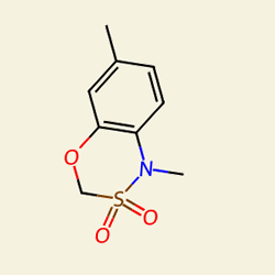 Cc1ccc2c(c1)OCS(=O)(=O)N2C